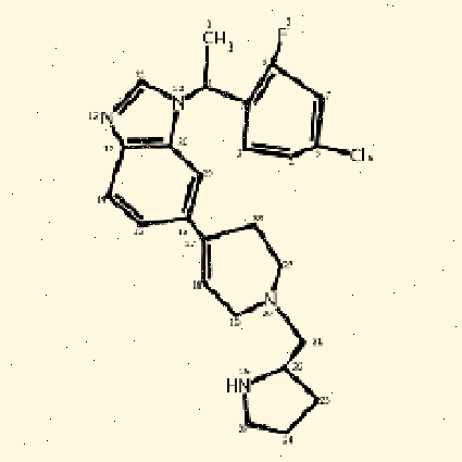 CC(c1ccc(Cl)cc1F)n1cnc2ccc(C3=CCN(C[C@H]4CCCN4)CC3)cc21